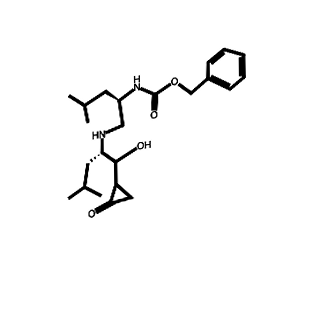 CC(C)C[C@H](CN[C@@H](CC(C)C)C(O)C1CC1=O)NC(=O)OCc1ccccc1